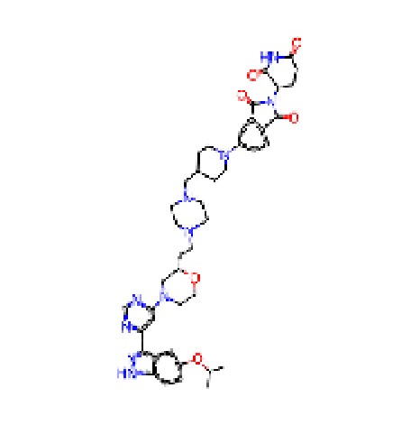 CC(C)Oc1ccc2[nH]nc(-c3cc(N4CCO[C@@H](CCN5CCN(CC6CCN(c7ccc8c(c7)C(=O)N(C7CCC(=O)NC7=O)C8=O)CC6)CC5)C4)ncn3)c2c1